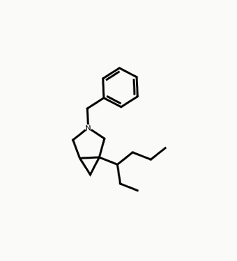 CCCC(CC)C12CC1CN(Cc1ccccc1)C2